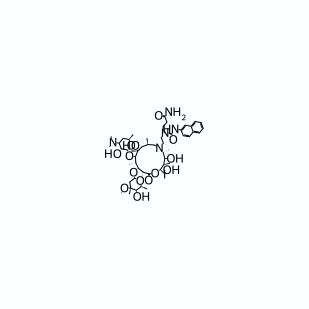 CO[C@]1(C)C[C@H](O[C@H]2[C@H](C)[C@@H](O[C@@H]3O[C@H](C)C[C@H](N(C)C)[C@H]3O)[C@](C)(O)C[C@@H](C)CN(CCN(CCC(N)=O)C(=O)Nc3ccc4ccccc4c3)[C@H](C)[C@@H](O)[C@](C)(O)[C@@H](I)OC(=O)[C@@H]2C)O[C@@H](C)[C@@H]1O